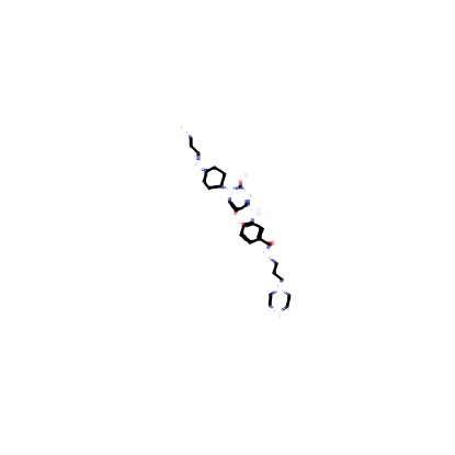 NCCCNC1CCC(N2C=C3Oc4ccc(C(=O)NCCCN5CCNCC5)cc4NC3=NC2O)CC1